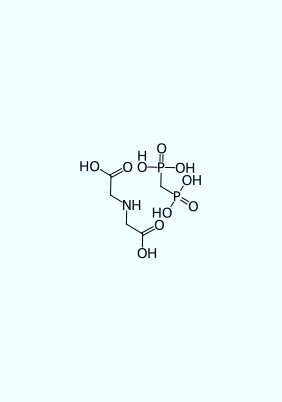 O=C(O)CNCC(=O)O.O=P(O)(O)CP(=O)(O)O